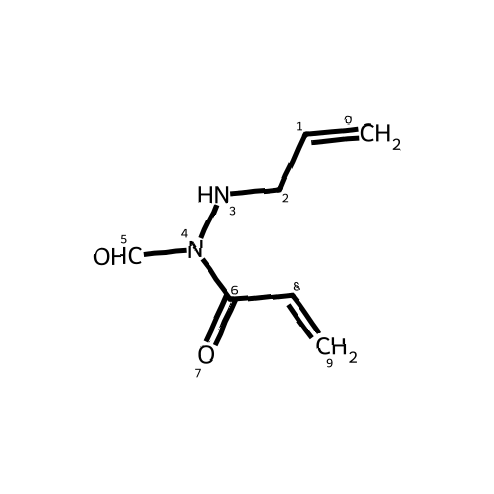 C=CCNN(C=O)C(=O)C=C